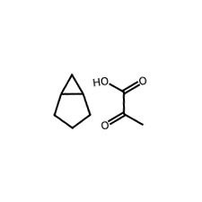 C1CC2CC2C1.CC(=O)C(=O)O